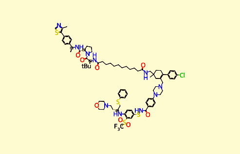 Cc1ncsc1-c1ccc([C@H](C)NC(=O)[C@@H]2CCCN2C(=O)[C@@H](NC(=O)CCCCCCCCCCC(=O)NCC2(C)CCC(c3ccc(Cl)cc3)=C(CN3CCN(c4ccc(C(=O)NSc5ccc(N[C@H](CCN6CCOCC6)CSc6ccccc6)c(S(=O)(=O)C(F)(F)F)c5)cc4)CC3)C2)C(C)(C)C)cc1